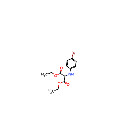 CCOC(=O)C(Nc1ccc(Br)cc1)C(=O)OCC